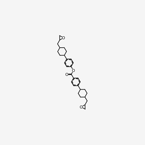 O=C(Oc1ccc(C2CCC(CC3CO3)CC2)cc1)c1ccc(C2CCC(CC3CO3)CC2)cc1